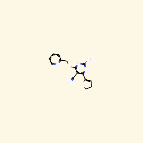 N#Cc1c(OCc2ccccn2)nc(N)nc1C1=CCCO1